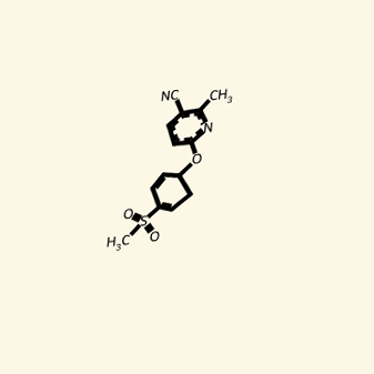 Cc1nc(OC2C=CC(S(C)(=O)=O)=CC2)ccc1C#N